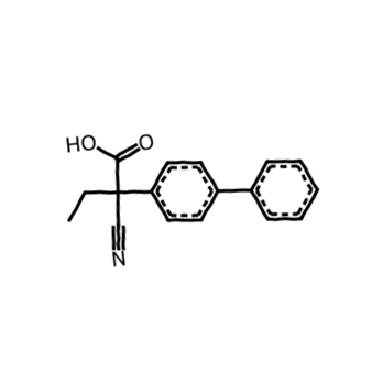 CCC(C#N)(C(=O)O)c1ccc(-c2ccccc2)cc1